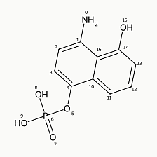 Nc1ccc(OP(=O)(O)O)c2cccc(O)c12